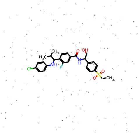 CCS(=O)(=O)c1ccc(C(CO)NC(=O)c2ccc(C(Nc3ccc(Cl)cc3)C(C)C)c(F)c2)cc1